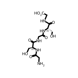 NCC(=O)N[C@@H](CO)C(=O)NCC(=O)N[C@@H](CO)C(=O)NCC(=O)O